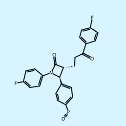 O=Pc1ccc([C@@H]2[C@@H](CCC(=O)c3ccc(F)cc3)C(=O)N2c2ccc(F)cc2)cc1